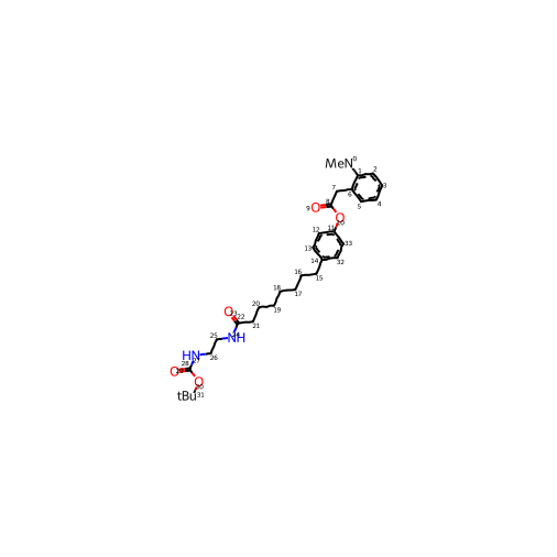 CNc1ccccc1CC(=O)Oc1ccc(CCCCCCCC(=O)NCCNC(=O)OC(C)(C)C)cc1